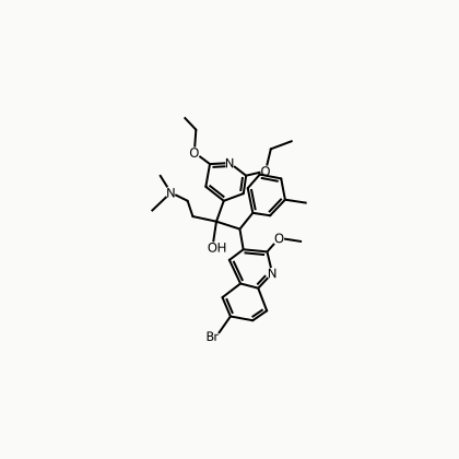 CCOc1cc(C(O)(CCN(C)C)C(c2cccc(C)c2)c2cc3cc(Br)ccc3nc2OC)cc(OCC)n1